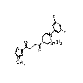 C[C@H]1CN(C(=O)CCC(=O)c2cn(C)cn2)CCN1c1cc(F)cc(F)c1